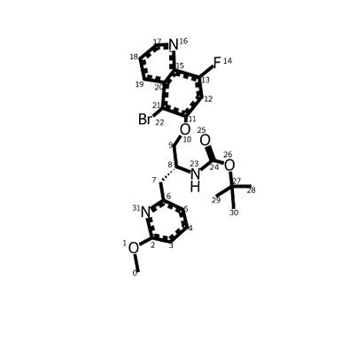 COc1cccc(C[C@H](COc2cc(F)c3ncccc3c2Br)NC(=O)OC(C)(C)C)n1